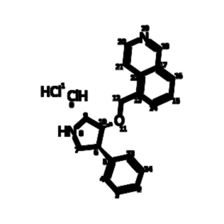 Cl.Cl.c1ccc([C@H]2CNC[C@@H]2OCc2cccc3cnccc23)cc1